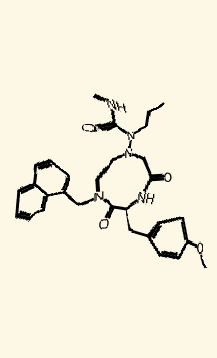 CCCN(C(=O)NC)N1CCN(Cc2cccc3ccccc23)C(=O)[C@H](Cc2ccc(OC)cc2)NC(=O)C1